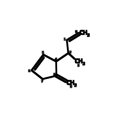 C=CC(C)C1[C]=CCC1=C